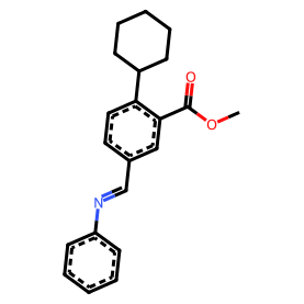 COC(=O)c1cc(/C=N/c2ccccc2)ccc1C1CCCCC1